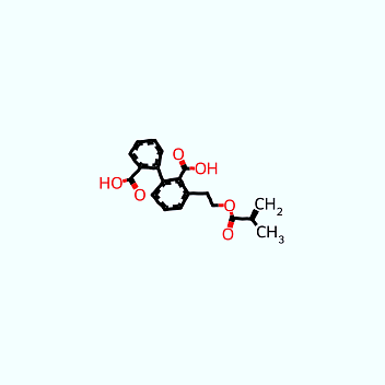 C=C(C)C(=O)OCCc1cccc(-c2ccccc2C(=O)O)c1C(=O)O